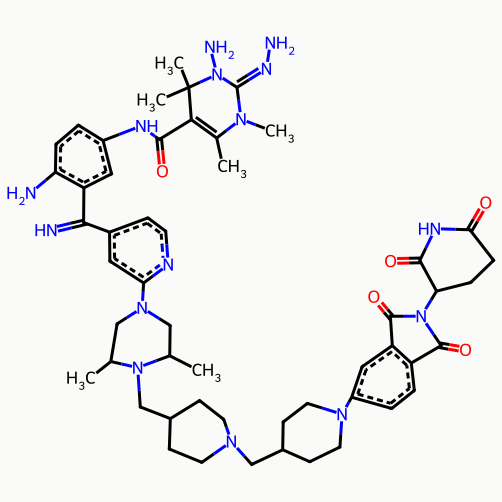 CC1=C(C(=O)Nc2ccc(N)c(C(=N)c3ccnc(N4CC(C)N(CC5CCN(CC6CCN(c7ccc8c(c7)C(=O)N(C7CCC(=O)NC7=O)C8=O)CC6)CC5)C(C)C4)c3)c2)C(C)(C)N(N)/C(=N\N)N1C